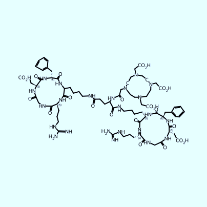 N=C(N)NCCC[C@@H]1NC(=O)C(CCCCNC(=O)CCC(NC(=O)CN2CCN(CC(=O)O)CCN(CC(=O)O)CCN(CC(=O)O)CC2)C(=O)NCCCC[C@@H]2NC(=O)[C@@H](Cc3ccccc3)NC(=O)[C@H](CC(=O)O)NC(=O)CNC(=O)[C@H](CCCNC(=N)N)NC2=O)NC(=O)[C@@H](Cc2ccccc2)NC(=O)[C@H](CC(=O)O)NC(=O)CNC1=O